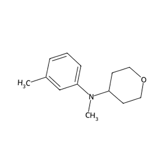 Cc1cccc(N(C)C2CCOCC2)c1